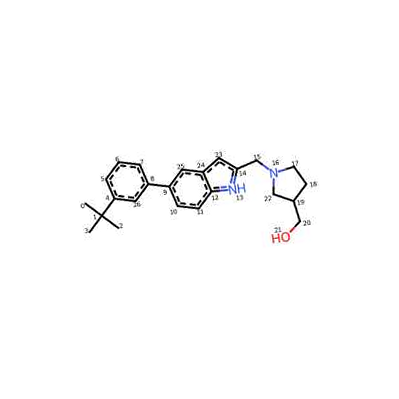 CC(C)(C)c1cccc(-c2ccc3[nH]c(CN4CCC(CO)C4)cc3c2)c1